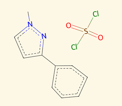 Cn1ccc(-c2ccccc2)n1.O=S(=O)(Cl)Cl